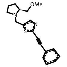 COC[C@@H]1CCCN1Cc1cnc(C#Cc2ccccc2)s1